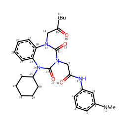 CNc1cccc(NC(=O)CN2C(=O)N(CC(=O)C(C)(C)C)c3ccccc3N(C3CCCCC3)C2=O)c1